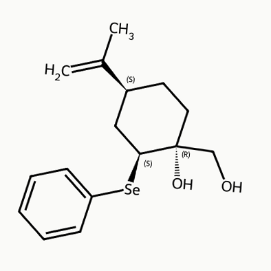 C=C(C)[C@H]1CC[C@@](O)(CO)[C@@H]([Se]c2ccccc2)C1